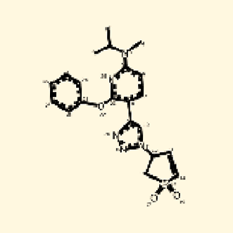 CC(C)N(C)c1ccc(-c2cn(C3C=CS(=O)(=O)C3)nn2)c(Oc2ccccc2)n1